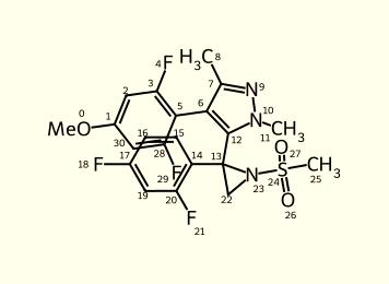 COc1cc(F)c(-c2c(C)nn(C)c2C2(c3ccc(F)cc3F)CN2S(C)(=O)=O)c(F)c1